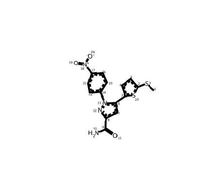 CSc1ccc(-c2cc(C(N)=O)nn2-c2ccc([N+](=O)[O-])cc2)s1